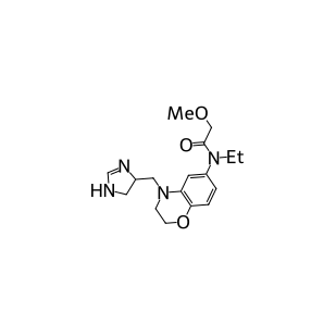 CCN(C(=O)COC)c1ccc2c(c1)N(CC1CNC=N1)CCO2